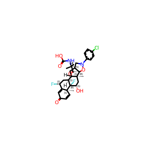 CC(C)(NC(=O)O)C(=O)[C@@]12ON(c3ccc(Cl)cc3)C[C@@H]1C[C@H]1[C@@H]3C[C@H](F)C4=CC(=O)C=C[C@]4(C)[C@@]3(F)[C@@H](O)C[C@@]12C